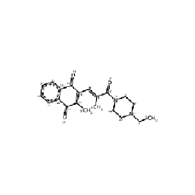 CCN1CCN(C(=O)C(C)=CC2=C(C)C(=O)c3ccccc3C2=O)CC1